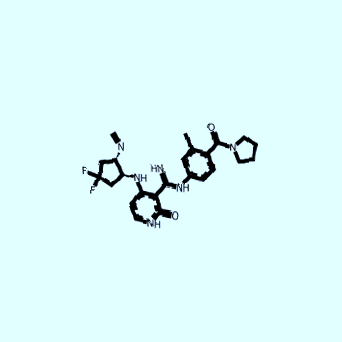 C=N[C@H]1CC(F)(F)C[C@@H]1Nc1cc[nH]c(=O)c1C(=N)Nc1ccc(C(=O)N2CCCC2)c(C)c1